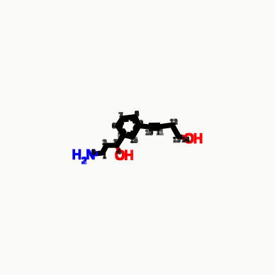 NCC[C@H](O)c1cccc(C#CCCO)c1